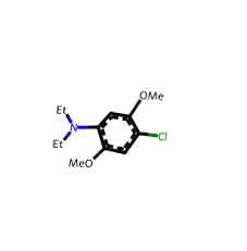 CCN(CC)c1cc(OC)c(Cl)cc1OC